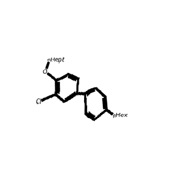 CCCCCCCOc1ccc(-c2ccc(CCCCCC)cc2)cc1Cl